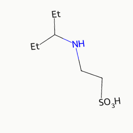 CCC(CC)NCCS(=O)(=O)O